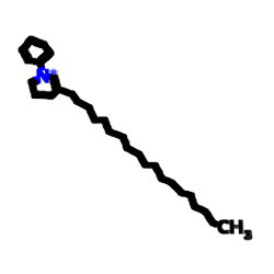 CCCCCCCCCCCCCCCCCCCc1ccc[n+](-c2ccccc2)c1